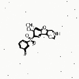 COc1cc2c(cc1S(=O)(=O)c1cccc(F)c1)C1CCNCC1O2